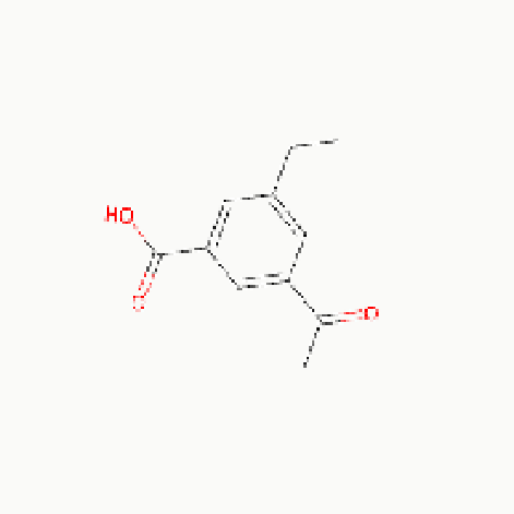 CCc1cc(C(C)=O)cc(C(=O)O)c1